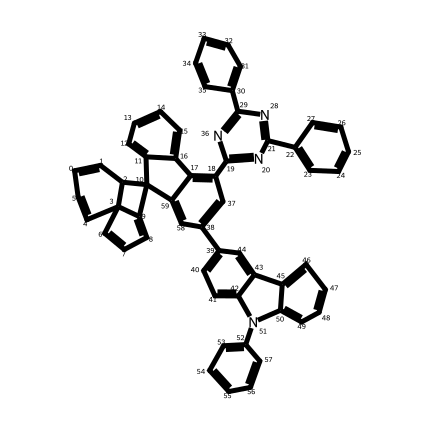 C1=CC2C3(C=C1)C=CC=C3C21c2ccccc2-c2c(-c3nc(-c4ccccc4)nc(-c4ccccc4)n3)cc(-c3ccc4c(c3)c3ccccc3n4-c3ccccc3)cc21